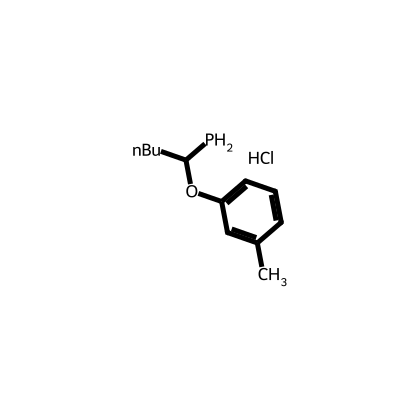 CCCCC(P)Oc1cccc(C)c1.Cl